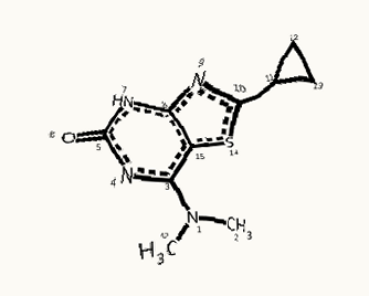 CN(C)c1nc(=O)[nH]c2nc(C3CC3)sc12